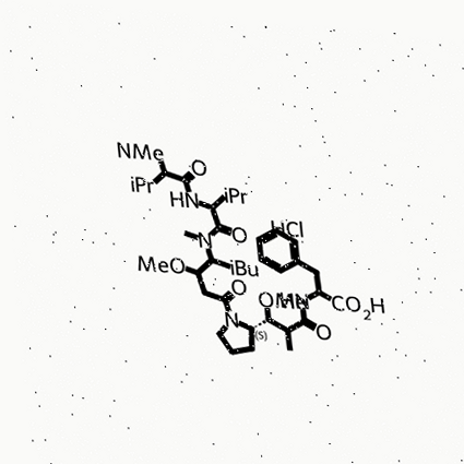 CCC(C)C(C(CC(=O)N1CCC[C@H]1C(OC)C(C)C(=O)NC(Cc1ccccc1)C(=O)O)OC)N(C)C(=O)C(NC(=O)C(NC)C(C)C)C(C)C.Cl